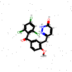 CCCOc1ccc(C(=O)c2c(Cl)cc(Cl)cc2Cl)cc1Cc1ccc(=O)[nH]n1